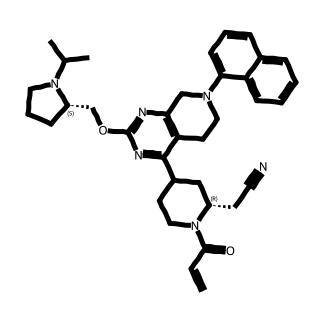 C=CC(=O)N1CCC(c2nc(OC[C@@H]3CCCN3C(C)C)nc3c2CCN(c2cccc4ccccc24)C3)C[C@@H]1CC#N